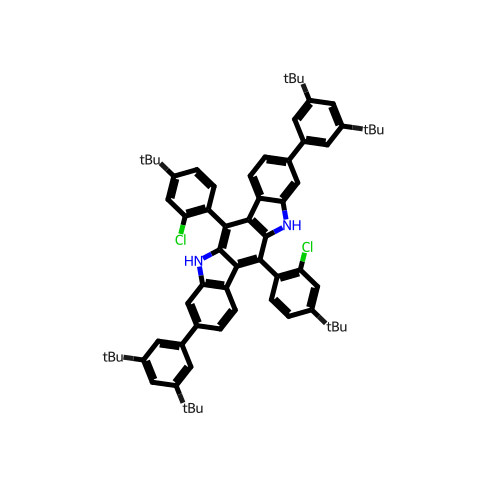 CC(C)(C)c1cc(-c2ccc3c(c2)[nH]c2c(-c4ccc(C(C)(C)C)cc4Cl)c4c([nH]c5cc(-c6cc(C(C)(C)C)cc(C(C)(C)C)c6)ccc54)c(-c4ccc(C(C)(C)C)cc4Cl)c23)cc(C(C)(C)C)c1